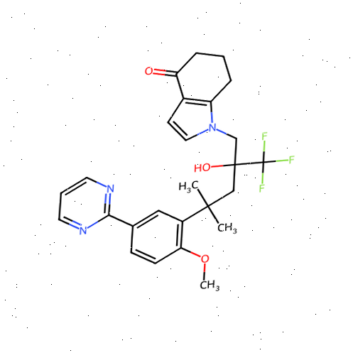 COc1ccc(-c2ncccn2)cc1C(C)(C)CC(O)(Cn1ccc2c1CCCC2=O)C(F)(F)F